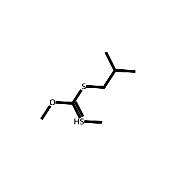 COC(SCC(C)C)=[SH]C